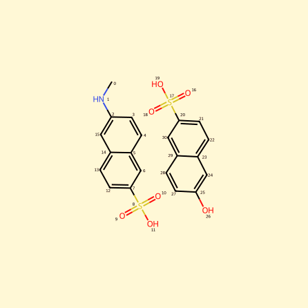 CNc1ccc2cc(S(=O)(=O)O)ccc2c1.O=S(=O)(O)c1ccc2cc(O)ccc2c1